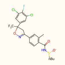 CCCC[S+]([O-])NC(=O)c1ccc(C2=NOC(c3cc(Cl)c(F)c(Cl)c3)(C(F)(F)F)C2)cc1C